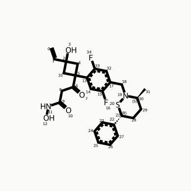 C=CC1(O)CC(C(=O)CC(=O)NO)(c2cc(F)c(CN3S[C@@H](c4ccccc4)CC[C@@H]3C)cc2F)C1